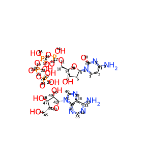 Nc1ccn([C@H]2C[C@H](O)[C@@H](COP(=O)(O)OP(=O)(O)OP(=O)(O)OP(=O)(O)O)O2)c(=O)n1.Nc1ncnc2c1ncn2[C@@H]1O[C@H](CO)[C@@H](O)[C@H]1O